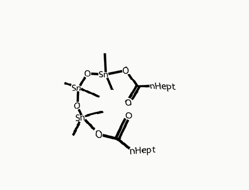 CCCCCCCC(=O)[O][Sn]([CH3])([CH3])[O][Sn]([CH3])([CH3])[O][Sn]([CH3])([CH3])[O]C(=O)CCCCCCC